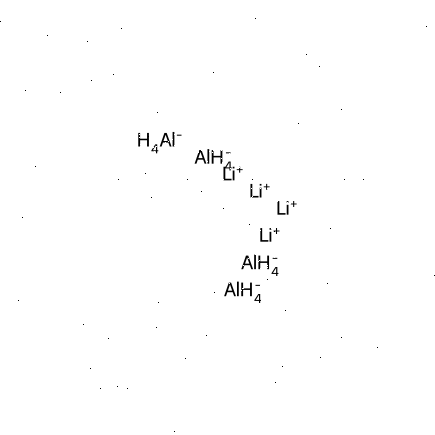 [AlH4-].[AlH4-].[AlH4-].[AlH4-].[Li+].[Li+].[Li+].[Li+]